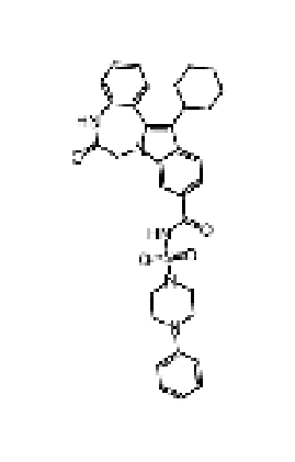 O=C1Cn2c(c(C3CCCCC3)c3ccc(C(=O)NS(=O)(=O)N4CCN(c5ccccc5)CC4)cc32)-c2ccccc2N1